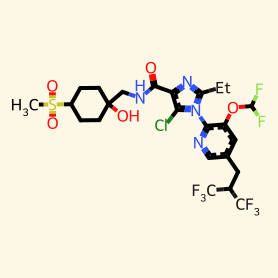 CCc1nc(C(=O)NCC2(O)CCC(S(C)(=O)=O)CC2)c(Cl)n1-c1ncc(CC(C(F)(F)F)C(F)(F)F)cc1OC(F)F